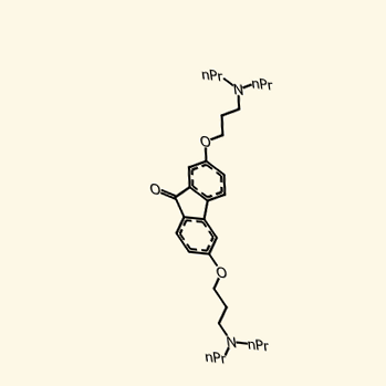 CCCN(CCC)CCCOc1ccc2c(c1)C(=O)c1ccc(OCCCN(CCC)CCC)cc1-2